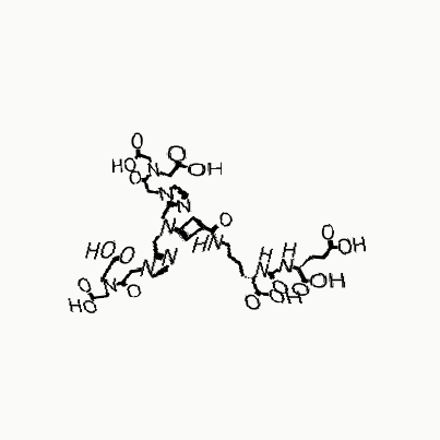 O=C(O)CC[C@H](NC(=O)N[C@@H](CCCCNC(=O)C1C=C(N(Cc2nccn2CC(=O)N(CC(=O)O)CC(=O)O)Cc2nccn2CC(=O)N(CC(=O)O)CC(=O)O)C1)C(=O)O)C(=O)O